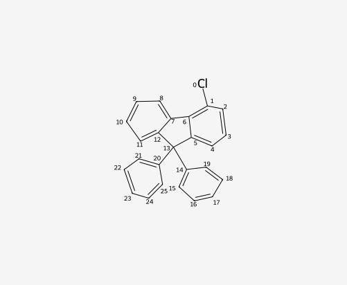 Clc1cccc2c1-c1ccccc1C2(c1ccccc1)c1ccccc1